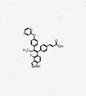 CCC(=C(c1ccc(C=CC(=O)O)cc1)c1ccc2[nH]ncc2c1F)c1ccc(Oc2cnccn2)cc1